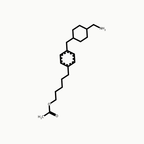 CC(=O)OCCCCCc1ccc(CC2CCC(CN)CC2)cc1